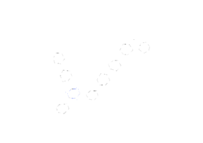 c1ccc(-c2ccc(-c3nc(-c4ccccc4)nc(-c4cccc(-c5ccc(-c6ccc(-c7ccc8c(c7)-c7ccccc7C87CCCCC7)cc6)cc5)c4)n3)cc2)cc1